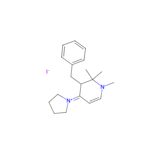 CN1C=CC(=[N+]2CCCC2)C(Cc2ccccc2)C1(C)C.[I-]